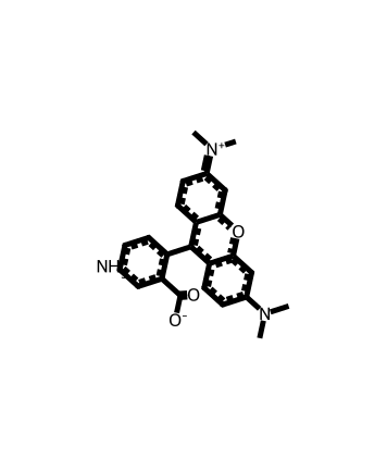 CN(C)c1ccc2c(-c3ccccc3C(=O)[O-])c3ccc(=[N+](C)C)cc-3oc2c1.N